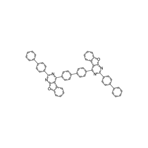 c1ccc(-c2ccc(-c3nc(-c4ccc(-c5ccc(-c6nc(-c7ccc(-c8ccccc8)cc7)nc7oc8ccccc8c67)cc5)cc4)c4c(n3)oc3ccccc34)cc2)cc1